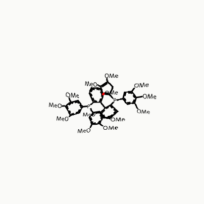 COC1=C(OC)CC(P(c2cc(OC)c(OC)c(OC)c2)c2cccc(OC)c2-c2c(OC)cccc2P(c2cc(OC)c(OC)c(OC)c2)c2cc(OC)c(OC)c(OC)c2)=C1